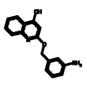 Nc1cccc(COc2cc(O)c3ccccc3n2)c1